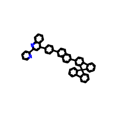 c1ccc(-c2cc(-c3ccc(-c4ccc5cc(-c6ccc7c(c6)C6(c8ccccc8-c8ccccc86)c6ccccc6-7)ccc5c4)cc3)c3ccccc3n2)nc1